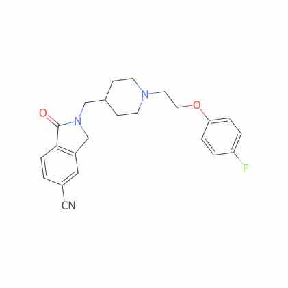 N#Cc1ccc2c(c1)CN(CC1CCN(CCOc3ccc(F)cc3)CC1)C2=O